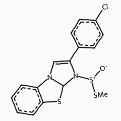 CS[S+]([O-])N1C(c2ccc(Cl)cc2)=CN2c3ccccc3SC21